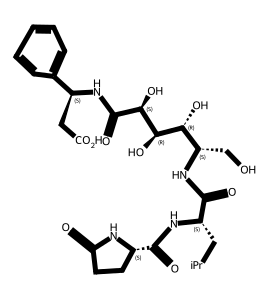 CC(C)C[C@H](NC(=O)[C@@H]1CCC(=O)N1)C(=O)N[C@@H](CO)[C@@H](O)[C@@H](O)[C@H](O)C(=O)N[C@@H](CC(=O)O)c1ccccc1